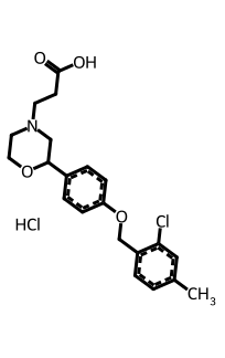 Cc1ccc(COc2ccc(C3CN(CCC(=O)O)CCO3)cc2)c(Cl)c1.Cl